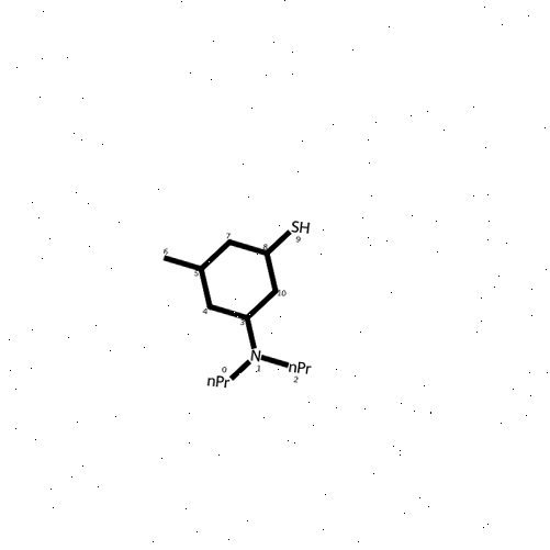 CCCN(CCC)C1CC(C)CC(S)C1